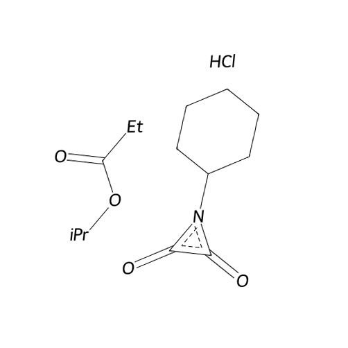 CCC(=O)OC(C)C.Cl.O=c1c(=O)n1C1CCCCC1